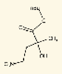 CCCCOC(=O)C(C)(O)CC[N+](=O)[O-]